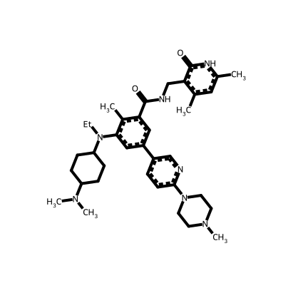 CCN(c1cc(-c2ccc(N3CCN(C)CC3)nc2)cc(C(=O)NCc2c(C)cc(C)[nH]c2=O)c1C)C1CCC(N(C)C)CC1